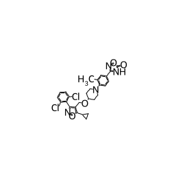 Cc1cc(-c2noc(=O)[nH]2)ccc1N1CCC(OCc2c(-c3c(Cl)cccc3Cl)noc2C2CC2)CC1